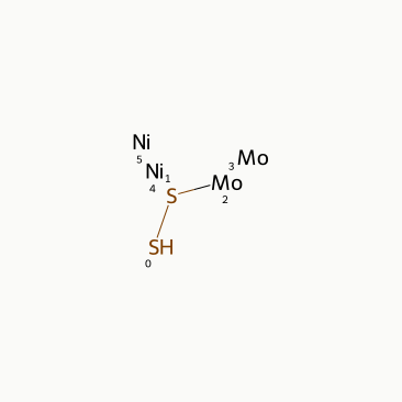 S[S][Mo].[Mo].[Ni].[Ni]